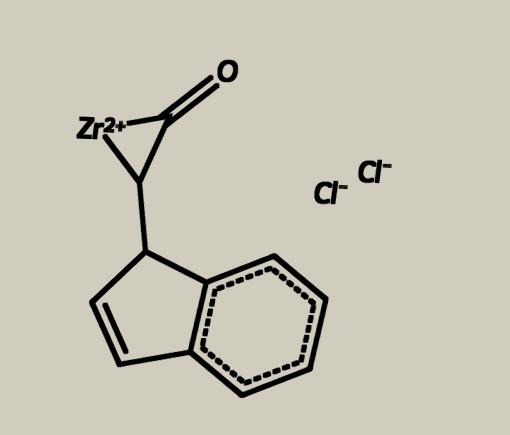 O=[C]1[Zr+2][CH]1C1C=Cc2ccccc21.[Cl-].[Cl-]